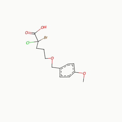 COc1ccc(COCCCC(Cl)(Br)C(=O)O)cc1